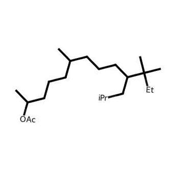 CCC(C)(C)C(CCCC(C)CCCC(C)OC(C)=O)CC(C)C